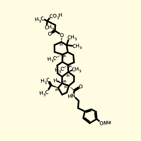 C=C(C)[C@@H]1CC[C@]2(C(=O)NCCc3ccc(OC)cc3)CC[C@]3(C)C(CCC4[C@@]5(C)CC[C@H](OC(=O)CC(C)(C)C(=O)O)C(C)(C)C5CC[C@]43C)[C@@H]12